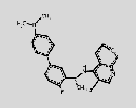 C[C@@H](Nc1c(Cl)cnc2ccccc12)c1cc(-c2ccc(N(C)C)nc2)ccc1F